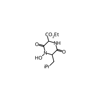 CCOC(=O)C1NC(=O)C(CC(C)C)N(O)C1=O